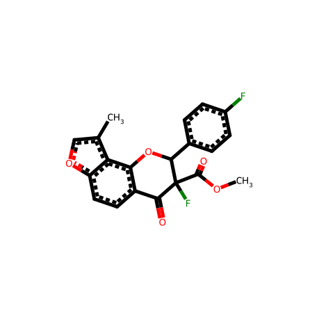 COC(=O)C1(F)C(=O)c2ccc3occ(C)c3c2OC1c1ccc(F)cc1